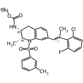 C/C(=C\c1ccc2c(c1)N(S(=O)(=O)c1cccc(C)c1)[C@H](C)[C@H](NC(=O)OC(C)(C)C)C2)c1c(F)cccc1Cl